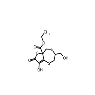 CCOC(=O)C12CSC(CO)CSC1=C(O)C(=O)O2